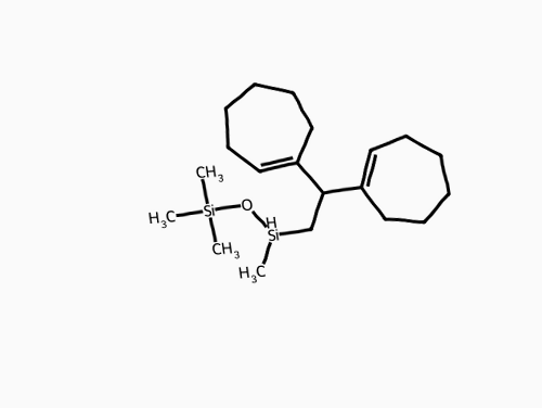 C[SiH](CC(C1=CCCCCC1)C1=CCCCCC1)O[Si](C)(C)C